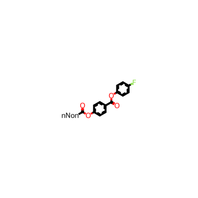 CCCCCCCCCC(=O)Oc1ccc(C(=O)Oc2ccc(F)cc2)cc1